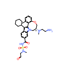 Cc1cccc2c1-c1c(C3CCCCC3)c3ccc(C(=O)NS(=O)(=O)N(C)CC=O)cc3n1C[C@@H](N(C)CCN)CO2